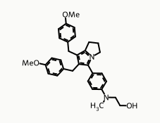 COc1ccc(Cc2c(Cc3ccc(OC)cc3)c(-c3ccc(N(C)CCO)cc3)n3c2CCC3)cc1